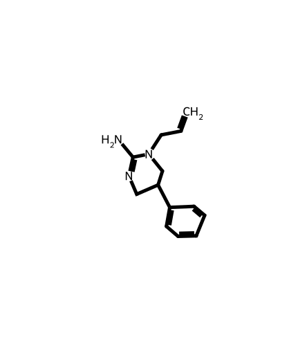 C=CCN1CC(c2ccccc2)CN=C1N